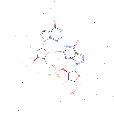 Nc1nc2c(nnn2[C@@H]2O[C@H](CO)[C@H](F)[C@H]2OP(=O)(S)OCC2O[C@@H](n3ccc4c(=O)[nH]cnc43)[C@@H](F)[C@@H]2O)c(=O)[nH]1